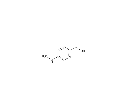 CBc1ccc(CO)nc1